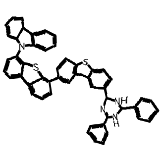 C1=CC2c3ccccc3N(c3cccc4c3sc3c(-c5ccc6sc7ccc(C8N=C(c9ccccc9)NC(c9ccccc9)N8)cc7c6c5)cccc34)C2C=C1